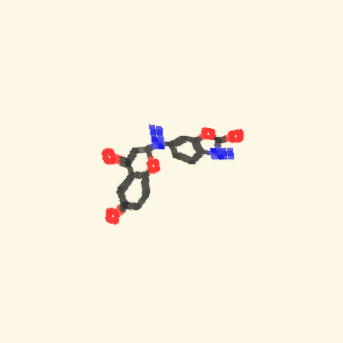 O=C1C=C2C(=O)CC(Nc3ccc4[nH]c(=O)oc4c3)OC2=CC1